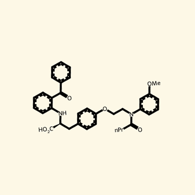 CCCC(=O)N(CCOc1ccc(C[C@H](Nc2ccccc2C(=O)c2ccccc2)C(=O)O)cc1)c1cccc(OC)c1